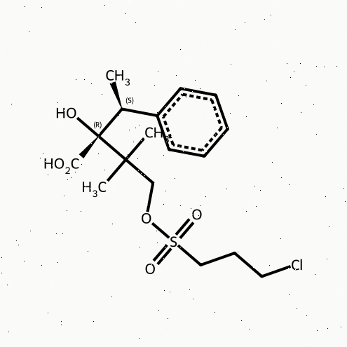 C[C@@H](c1ccccc1)[C@](O)(C(=O)O)C(C)(C)COS(=O)(=O)CCCCl